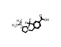 CN(C)[C@H]1CCN(Cc2ccc(C(=O)O)cc2C(F)(F)F)C1